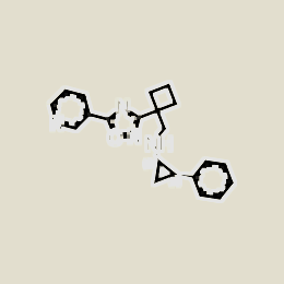 c1ccc([C@H]2C[C@@H]2NCC2(c3noc(-c4cccnc4)n3)CCC2)cc1